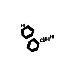 I.I.I.I.[Cu].c1ccccc1.c1ccccc1